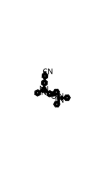 N#Cc1ccc(-c2ccc(-c3nc(-c4ccccc4)nc(-c4ccc5oc6c(-c7nc(-c8ccccc8)nc(-c8ccccc8)n7)cccc6c5c4)n3)cc2)cc1